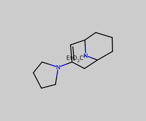 CCOC(=O)N1C2C=C(N3CCCC3)CC1CCC2